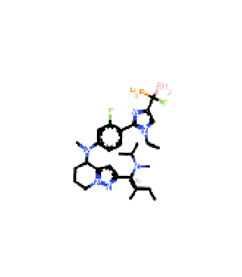 BC(F)(P)c1cn(CC)c(-c2ccc(N(C)C3CCCn4nc(/C(=C(\C)CC)N(C)C(C)C)cc43)cc2F)n1